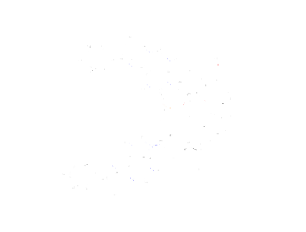 CC(C)(C)[Si](C)(C)O[C@H]1[C@@H](O[PH](=O)O[C@@H]2[C@H](O[Si](C)(C)C(C)(C)C)[C@@H](CO)O[C@H]2n2cnc3c(NC(=O)c4ccccc4)ncnc32)[C@H](n2cnc3c(NC(=O)c4ccccc4)ncnc32)O[C@@H]1CO